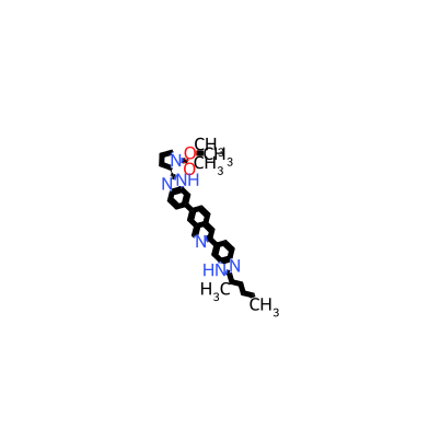 CCCC[C@H](C)c1nc2ccc(-c3cc4ccc(-c5ccc6nc([C@@H]7CCCN7C(=O)OC(C)(C)C)[nH]c6c5)cc4cn3)cc2[nH]1